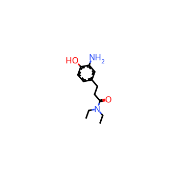 CCN(CC)C(=O)CCc1ccc(O)c(N)c1